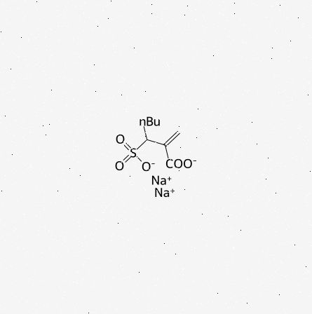 C=C(C(=O)[O-])C(CCCC)S(=O)(=O)[O-].[Na+].[Na+]